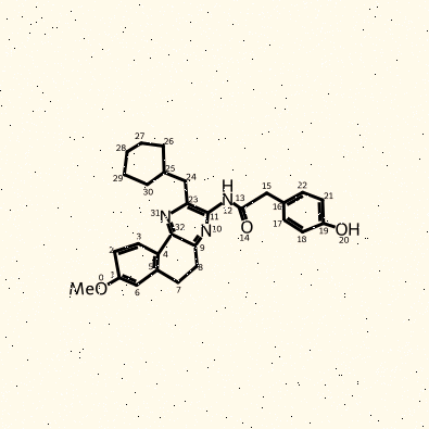 COc1ccc2c(c1)CCc1nc(NC(=O)Cc3ccc(O)cc3)c(CC3CCCCC3)nc1-2